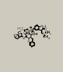 CC(C)CN(CC(O)C(Cc1ccccc1)NC(=O)OC1COC2OCCC12)S(=O)(=O)c1ccc2c(c1)/C(=C/N(C)C)C(=O)N2